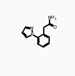 NC(=O)Cc1ccccc1-n1cccn1